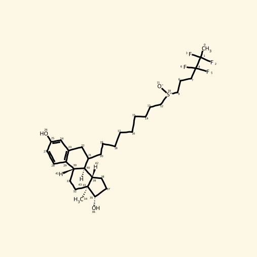 CC(F)(F)C(F)(F)CCC[S+]([O-])CCCCCCCCCC1Cc2cc(O)ccc2[C@H]2CC[C@]3(C)[C@@H](O)CC[C@H]3[C@H]12